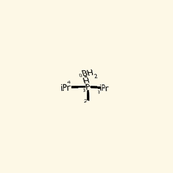 B[PH](C)(C(C)C)C(C)C